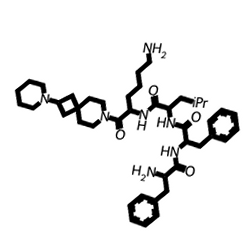 CC(C)CC(NC(=O)C(Cc1ccccc1)NC(=O)C(N)Cc1ccccc1)C(=O)NC(CCCCN)C(=O)N1CCC2(CC1)CC(N1CCCCC1)C2